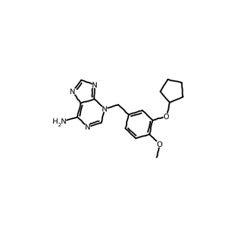 COc1ccc(Cn2cnc(N)c3ncnc2-3)cc1OC1CCCC1